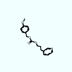 O=C(OCCCc1cccnc1)OCc1ccc(OI)cc1